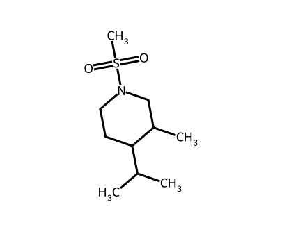 CC(C)C1CCN(S(C)(=O)=O)CC1C